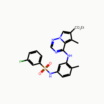 CCOC(=O)c1cn2ncnc(Nc3cc(NS(=O)(=O)c4cccc(F)c4)ccc3C)c2c1C